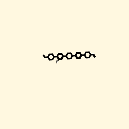 C=CC1CCC(c2ccc(C3CCC(c4ccc(C5CCC(CC)CC5)c(F)c4)CC3)cc2)CC1